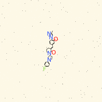 COc1cc(C=C2CCCN(C3CCN(c4ccc(F)cc4)C3)C2=O)ccc1-n1cnc(C)c1